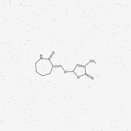 CC1=CC(O/C=C2\CCCCNC2=O)OC1=O